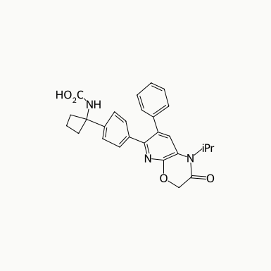 CC(C)N1C(=O)COc2nc(-c3ccc(C4(NC(=O)O)CCC4)cc3)c(-c3ccccc3)cc21